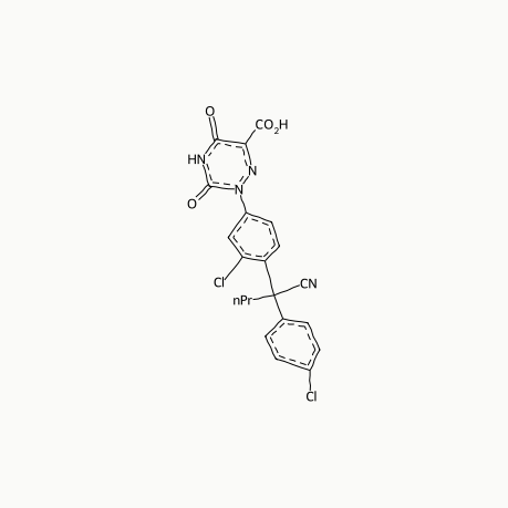 CCCC(C#N)(c1ccc(Cl)cc1)c1ccc(-n2nc(C(=O)O)c(=O)[nH]c2=O)cc1Cl